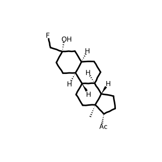 CC(=O)[C@H]1CC[C@H]2[C@@H]3CC[C@@H]4C[C@](O)(CF)CC[C@@H]4[C@H]3CC[C@]12C